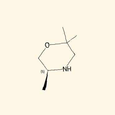 C[C@H]1COC(C)(C)CN1